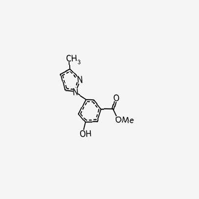 COC(=O)c1cc(O)cc(-n2ccc(C)n2)c1